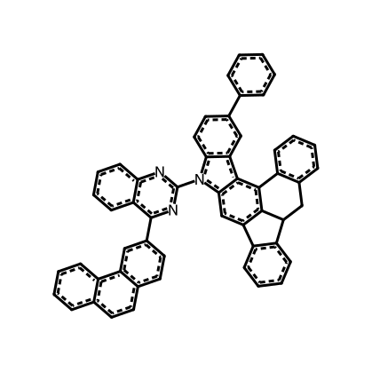 c1ccc(-c2ccc3c(c2)c2c4c5c(cc2n3-c2nc(-c3ccc6ccc7ccccc7c6c3)c3ccccc3n2)-c2ccccc2C5Cc2ccccc2-4)cc1